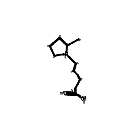 CC1CCCN1CCCC(=O)O